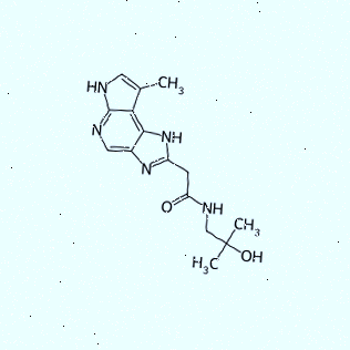 Cc1c[nH]c2ncc3nc(CC(=O)NCC(C)(C)O)[nH]c3c12